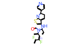 C=CC(Nc1csc2c1=CCC(c1ccncc1)N=2)N(C=O)C(=C)/C=C(/F)C(=C)F